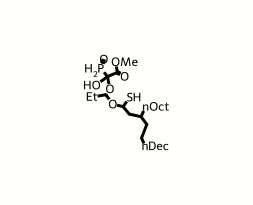 CCCCCCCCCCCCC(CCCCCCCC)CC(S)OC(CC)OC(O)([PH2]=O)C(=O)OC